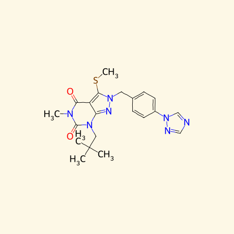 CSc1c2c(=O)n(C)c(=O)n(CC(C)(C)C)c2nn1Cc1ccc(-n2cncn2)cc1